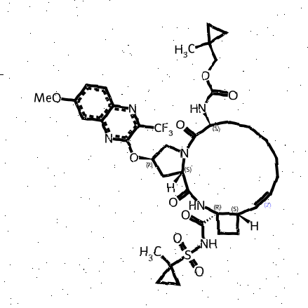 COc1ccc2nc(C(F)(F)F)c(O[C@@H]3C[C@H]4C(=O)N[C@]5(C(=O)NS(=O)(=O)C6(C)CC6)CC[C@H]5/C=C\CCCCC[C@H](NC(=O)OCC5(C)CC5)C(=O)N4C3)nc2c1